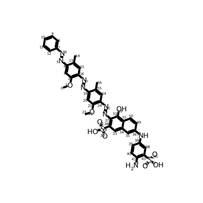 COc1cc(N=Nc2ccccc2)c(C)cc1N=Nc1cc(OC)c(N=Nc2c(S(=O)(=O)O)cc3cc(Nc4ccc(N)c(S(=O)(=O)O)c4)ccc3c2O)cc1C